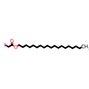 CCCCCCCCCCCCCCCCCCCOC(=O)CI